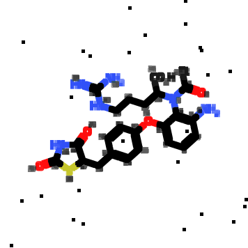 CCC(=O)N(c1c(N)cccc1Oc1ccc(CC2SC(=O)NC2=O)cc1)C(CCCNC(=N)N)C(=O)O